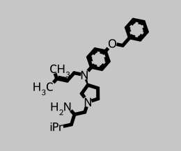 CC(C)=CCN(c1ccc(OCc2ccccc2)cc1)[C@H]1CCN(CC(N)CC(C)C)C1